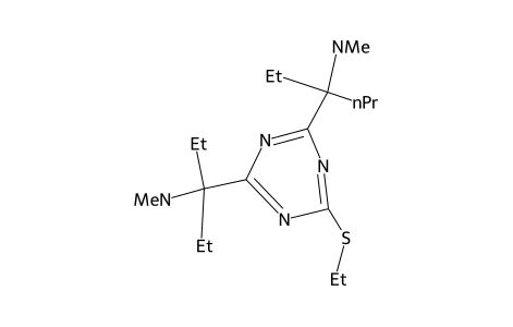 CCCC(CC)(NC)c1nc(SCC)nc(C(CC)(CC)NC)n1